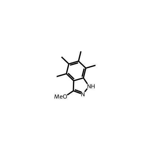 COc1n[nH]c2c(C)c(C)c(C)c(C)c12